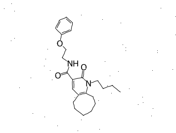 CCCCn1c2c(cc(C(=O)NCCOc3ccccc3)c1=O)CCCCCC2